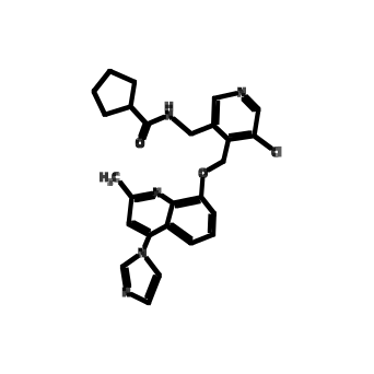 Cc1cc(-n2ccnc2)c2cccc(OCc3c(Cl)cncc3CNC(=O)C3CCCC3)c2n1